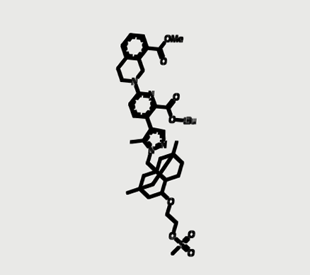 COC(=O)c1cccc2c1CN(c1ccc(-c3cnn(CC45CC6(C)CCC4C(OCCOS(C)(=O)=O)CC(C)(C6)C5)c3C)c(C(=O)OC(C)(C)C)n1)CC2